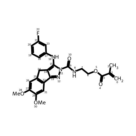 C=C(C)C(=O)OCCNC(=O)n1nc2c(c1Nc1cccc(F)c1)Cc1cc(OC)c(OC)cc1-2